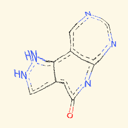 O=c1nc2ncncc2c2[nH][nH]cc1-2